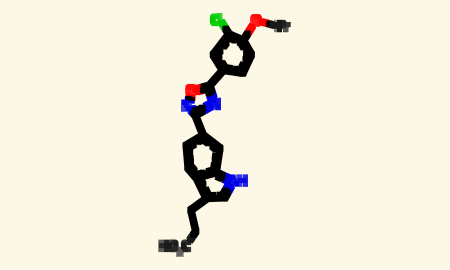 CC(C)Oc1ccc(-c2nc(-c3ccc4c(CCC(=O)O)c[nH]c4c3)no2)cc1Cl